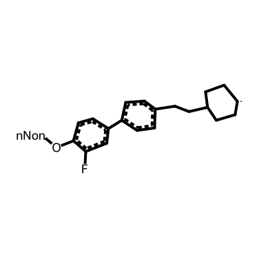 CCCCCCCCCOc1ccc(-c2ccc(CCC3CC[CH]CC3)cc2)cc1F